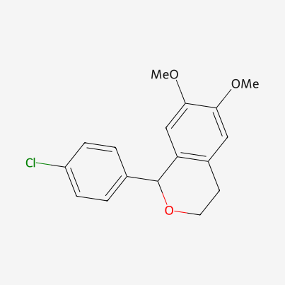 COc1cc2c(cc1OC)C(c1ccc(Cl)cc1)OCC2